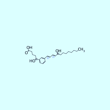 CCCCCCCC[C@H](O)/C=C/C=C/c1cccc([C@@H](O)CCCC(=O)O)c1